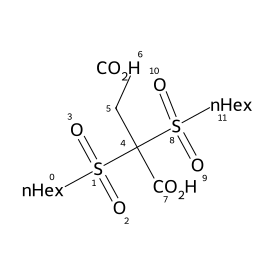 CCCCCCS(=O)(=O)C(CC(=O)O)(C(=O)O)S(=O)(=O)CCCCCC